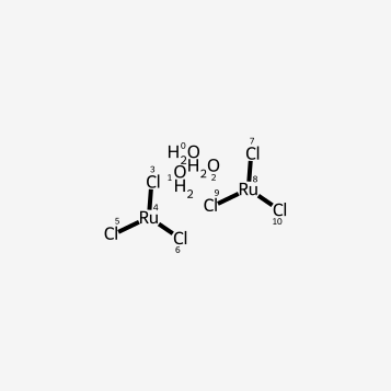 O.O.O.[Cl][Ru]([Cl])[Cl].[Cl][Ru]([Cl])[Cl]